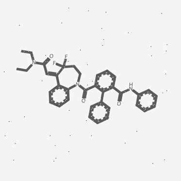 CCN(CC)C(=O)C=C1c2ccccc2N(C(=O)c2cccc(C(=O)Nc3ccccc3)c2-c2ccccc2)CCC1(F)F